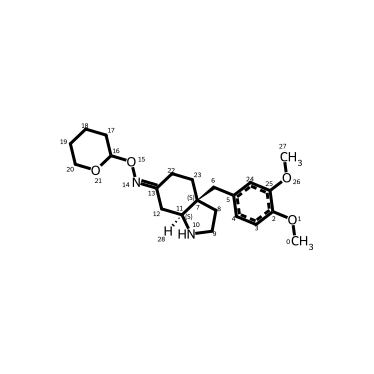 COc1ccc(C[C@@]23CCN[C@H]2CC(=NOC2CCCCO2)CC3)cc1OC